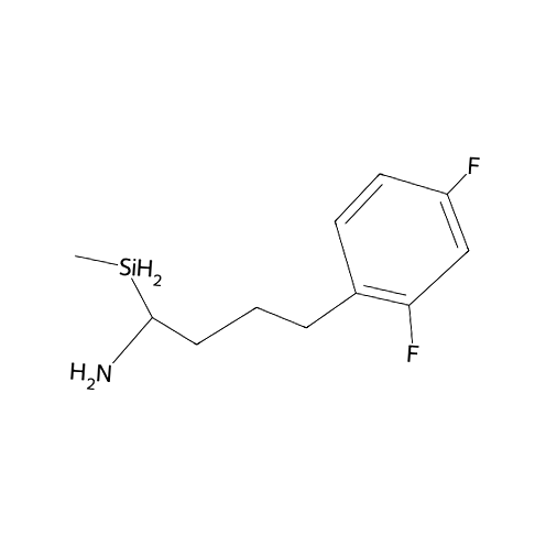 C[SiH2]C(N)CCCc1ccc(F)cc1F